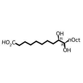 CCCCCCCC[C@@H](O)[C@H](O)CCCCCCCC(=O)O